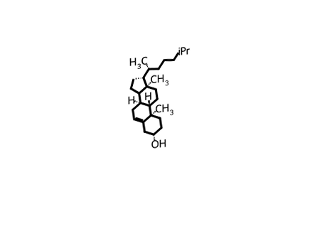 CC(C)CCC[C@@H](C)[C@H]1CCC2[C@@H]3CC=C4C[C@@H](O)CC[C@]4(C)[C@H]3CC[C@@]21C